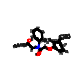 COC(=O)CN(C(=O)COc1cccc(C=O)c1[N+](=O)[O-])C1CCCCC1